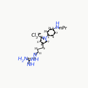 CCCNc1ccc(-n2cc(CCC=NNC(=N)N)cc2C(Cl)(Cl)Cl)cc1